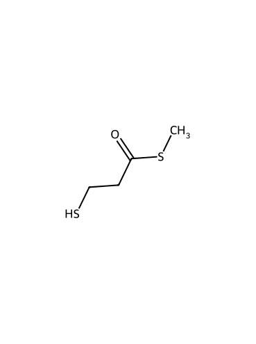 CSC(=O)CCS